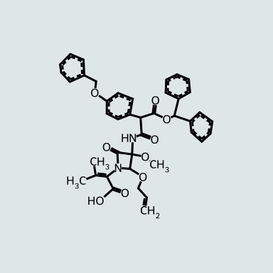 C=CCOC1N(C(C(=O)O)=C(C)C)C(=O)C1(NC(=O)C(C(=O)OC(c1ccccc1)c1ccccc1)c1ccc(OCc2ccccc2)cc1)OC